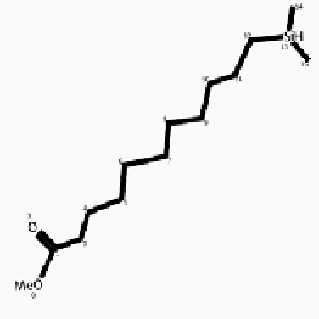 COC(=O)CCCCCCCCCC[SiH](C)C